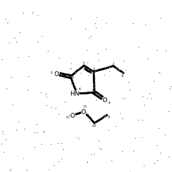 CCC1=CC(=O)NC1=O.CCO[O]